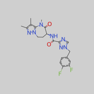 Cc1nn2c(c1C)N(C)C(=O)[C@@H](NC(=O)c1ncn(Cc3ccc(F)c(F)c3)n1)CC2